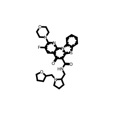 O=C(NCC1CCCN1CC1CCCO1)c1c(=O)c2cc(F)c(N3CCOCC3)nc2n2c1sc1ccccc12